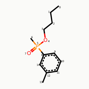 CCCCOP(C)(=O)c1cccc(C)c1